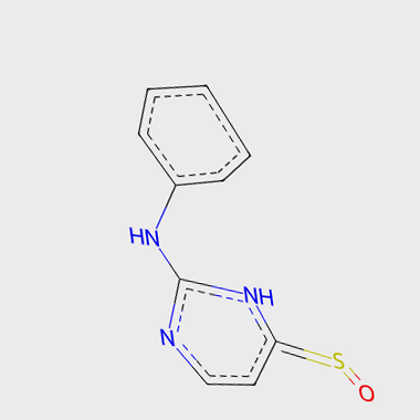 O=S=c1ccnc(Nc2ccccc2)[nH]1